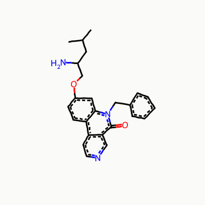 CC(C)CC(N)COc1ccc2c3ccncc3c(=O)n(Cc3ccccc3)c2c1